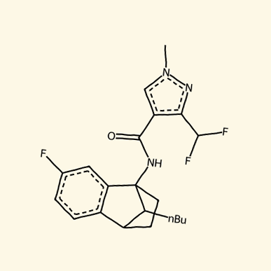 CCCCC1C2CCC1(NC(=O)c1cn(C)nc1C(F)F)c1cc(F)ccc12